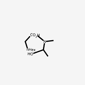 CC(O)N(C)C.CCCCCCCC(=O)O